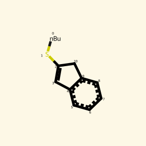 CCCCSC1=Cc2ccccc2C1